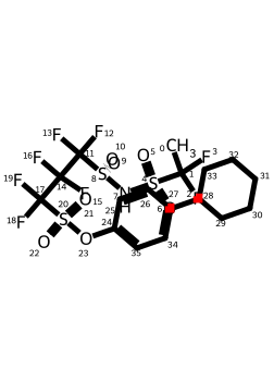 CC(F)(F)S(=O)(=O)NS(=O)(=O)C(F)(F)C(F)(F)C(F)(F)S(=O)(=O)Oc1ccc(C2CCCCC2)cc1